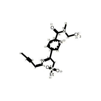 CC#C/C=C\N=C(/CS(=O)(=O)CC)c1ccc(C(=O)N(C)CC(F)(F)F)nc1